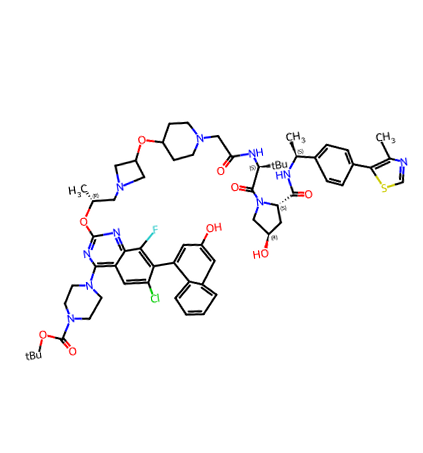 Cc1ncsc1-c1ccc([C@H](C)NC(=O)[C@@H]2C[C@@H](O)CN2C(=O)[C@@H](NC(=O)CN2CCC(OC3CN(C[C@@H](C)Oc4nc(N5CCN(C(=O)OC(C)(C)C)CC5)c5cc(Cl)c(-c6cc(O)cc7ccccc67)c(F)c5n4)C3)CC2)C(C)(C)C)cc1